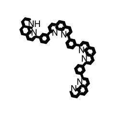 CC12NC=CC=C1C=Cc1ccc(-c3cccc(-c4ccc5ccc6ccc(-c7cccc(-c8ccc9ccc%10ccc(-c%11cccc(-c%12ccc%13ccc%14cccnc%14c%13n%12)c%11)nc%10c9n8)c7)nc6c5n4)c3)nc12